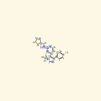 Fc1ccc(-c2ncn(C(F)(F)F)c2-c2ccnc(NCC3CCCC3)n2)cc1